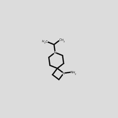 CC(C)N1CCC2(CC1)CCN2N